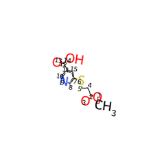 COC(=O)CCSc1cncc(C(=O)O)c1